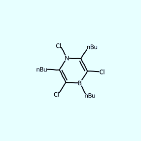 CCCCB1C(Cl)=C(CCCC)N(Cl)C(CCCC)=C1Cl